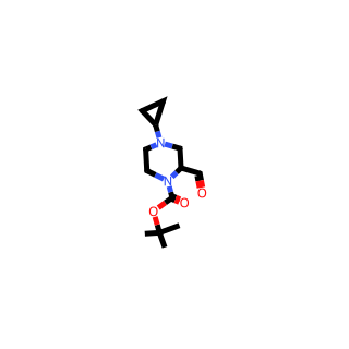 CC(C)(C)OC(=O)N1CCN(C2CC2)CC1C=O